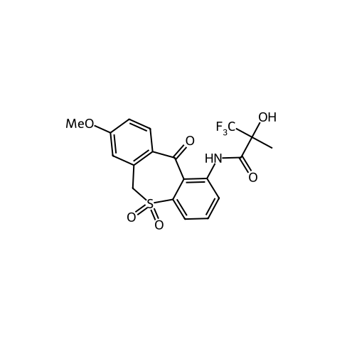 COc1ccc2c(c1)CS(=O)(=O)c1cccc(NC(=O)C(C)(O)C(F)(F)F)c1C2=O